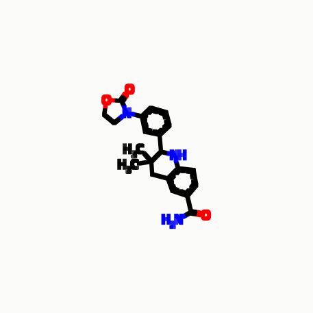 CC1(C)Cc2cc(C(N)=O)ccc2NC1c1cccc(N2CCOC2=O)c1